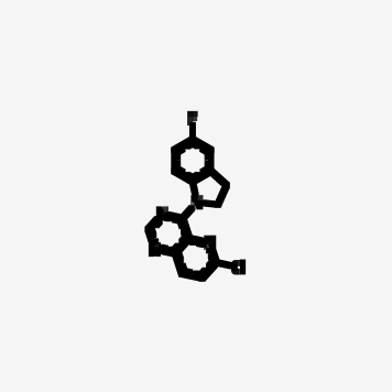 Fc1ccc2c(c1)CCN2c1ncnc2ccc(Cl)nc12